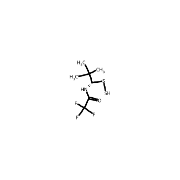 CC(C)(C)[C@@H](NC(=O)C(F)(F)F)SS